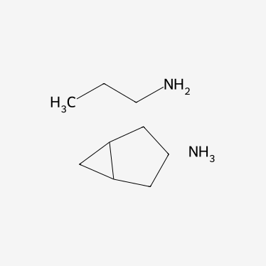 C1CC2CC2C1.CCCN.N